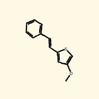 COc1csc(C=Cc2ccccc2)c1